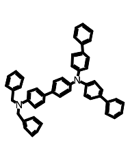 c1ccc(CN(Cc2ccccc2)c2ccc(-c3ccc(N(c4ccc(-c5ccccc5)cc4)c4ccc(-c5ccccc5)cc4)cc3)cc2)cc1